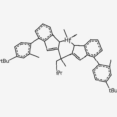 Cc1cc(C(C)(C)C)ccc1-c1cccc2c1C=C1[CH]2[Hf]([CH3])([CH3])[CH]2C(=Cc3c(-c4ccc(C(C)(C)C)cc4C)cccc32)C1(C)CC(C)C